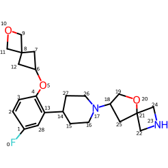 Fc1ccc(OC2CC3(COC3)C2)c(C2CCN(C3COC4(CNC4)C3)CC2)c1